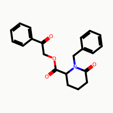 O=C(COC(=O)C1CCCC(=O)N1Cc1ccccc1)c1ccccc1